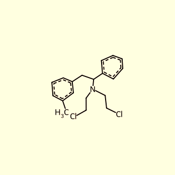 Cc1cccc(CC(c2ccccc2)N(CCCl)CCCl)c1